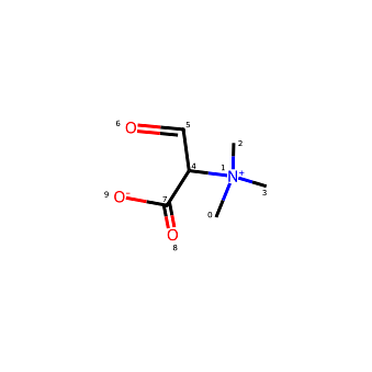 C[N+](C)(C)C(C=O)C(=O)[O-]